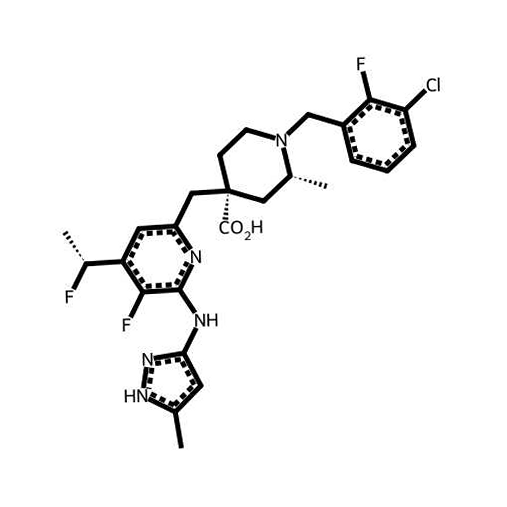 Cc1cc(Nc2nc(C[C@@]3(C(=O)O)CCN(Cc4cccc(Cl)c4F)[C@H](C)C3)cc([C@@H](C)F)c2F)n[nH]1